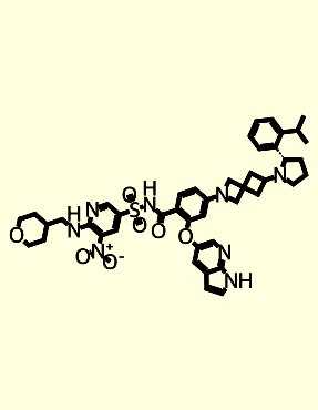 CC(C)c1ccccc1[C@@H]1CCCN1C1CC2(C1)CN(c1ccc(C(=O)NS(=O)(=O)c3cnc(NCC4CCOCC4)c([N+](=O)[O-])c3)c(Oc3cnc4[nH]ccc4c3)c1)C2